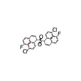 O=S(=O)(C(/C=C\c1ccc(F)cc1)c1ccc(Cl)cc1)C(/C=C\c1ccc(F)cc1)c1ccc(Cl)cc1